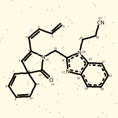 C=C/C=C\C1=CC2(C=CC=CC2)C(=O)N1Cc1nc2ccccc2n1CCC#N